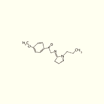 CCCN1CCC/C1=N\CC(=O)c1ccc(OC)cc1